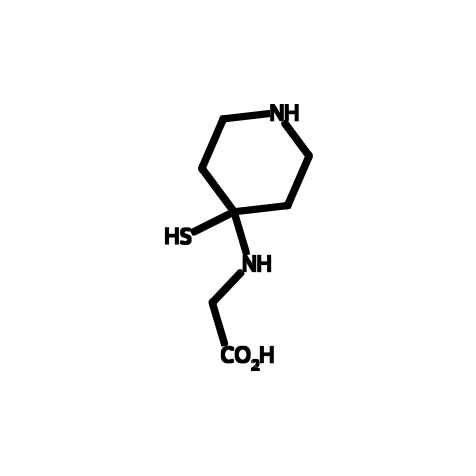 O=C(O)CNC1(S)CCNCC1